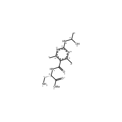 COC(=O)[C@H](CN)NC(=O)c1c(C)nc(NC(C)O)nc1C